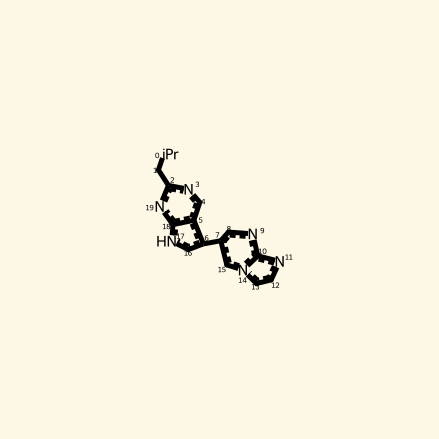 CC(C)Cc1ncc2c(-c3cnc4nccn4c3)c[nH]c2n1